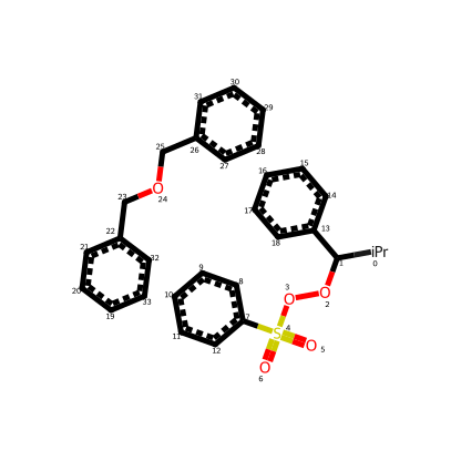 CC(C)C(OOS(=O)(=O)c1ccccc1)c1ccccc1.c1ccc(COCc2ccccc2)cc1